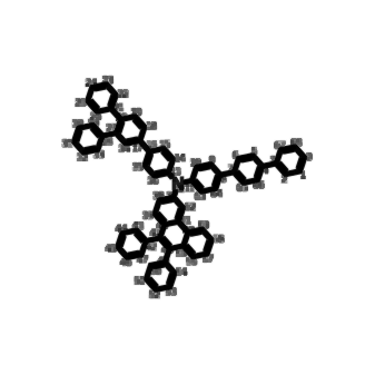 c1ccc(-c2ccc(-c3ccc(N(c4ccc(-c5ccc(-c6ccccc6)c(-c6ccccc6)c5)cc4)c4ccc5c(-c6ccccc6)c(-c6ccccc6)c6ccccc6c5c4)cc3)cc2)cc1